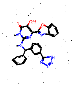 CN(c1nc(-c2nc3ccccc3o2)c(O)c(=O)n1C)C(c1ccccc1)c1cccc(-c2nnn[nH]2)c1